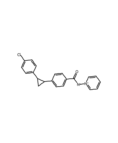 O=C([N-][n+]1ccccc1)c1ccc(C2CC2c2ccc(Cl)cc2)cc1